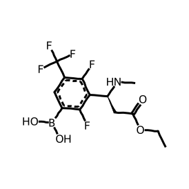 CCOC(=O)C[C@H](NC)c1c(F)c(B(O)O)cc(C(F)(F)F)c1F